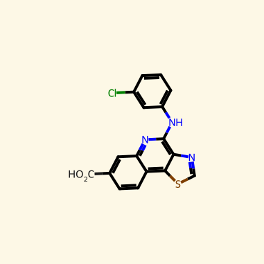 O=C(O)c1ccc2c(c1)nc(Nc1cccc(Cl)c1)c1ncsc12